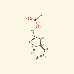 CC(=O)OCC1=Cc2ccccc2C1